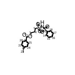 O=C(OCCCS(=O)(=O)NS(=O)(=O)c1ccccc1)c1ccc(I)cc1